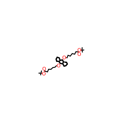 CC(C)(C)OC(=O)CCCCCCOc1c2ccccc2c(OCCCCCCC(=O)OC(C)(C)C)c2ccccc12